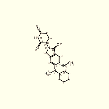 CN[C@@H]1CCCC[C@H]1N(C)c1ccc2c(c1)CN([C@@H]1CCC(=O)NC1=O)C2=O